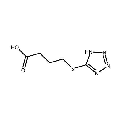 O=C(O)CCCSc1nnn[nH]1